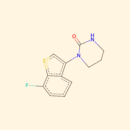 O=C1NCCCN1c1csc2c(F)cccc12